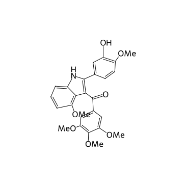 COc1ccc(-c2[nH]c3cccc(OC)c3c2C(=O)c2cc(OC)c(OC)c(OC)c2)cc1O